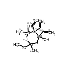 C=C[Si]1(O)CC(C)(OC)O[Si](C)(C)[Si]1(C=C)C=C